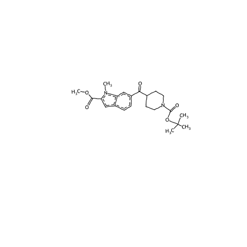 COC(=O)c1cc2ccc(C(=O)C3CCN(C(=O)OC(C)(C)C)CC3)cc2n1C